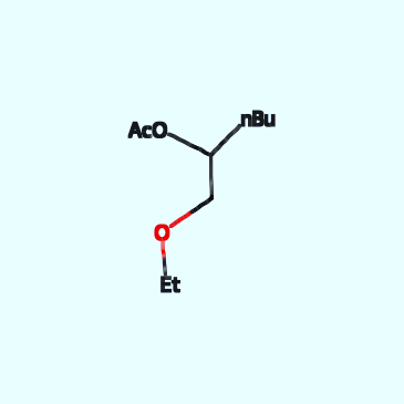 CCCCC(COCC)OC(C)=O